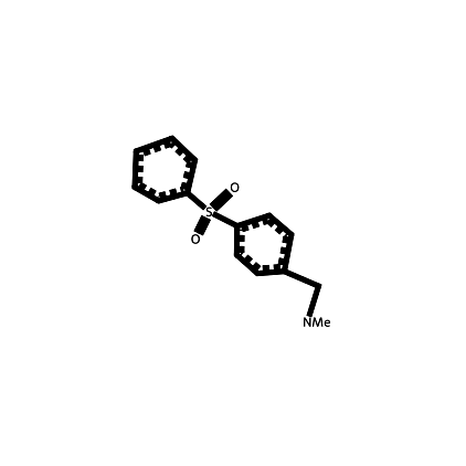 CNCc1ccc(S(=O)(=O)c2ccccc2)cc1